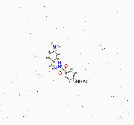 CC(=O)Nc1ccc(S(=O)(=O)N/N=C\c2ccc(N(C)C)cc2)cc1